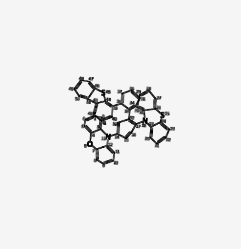 c1ccc2c(c1)Oc1ccccc1N2c1ccc(N2c3ccccc3Sc3ccccc32)c(-c2ccccc2-c2cccc3c2sc2ccccc23)c1